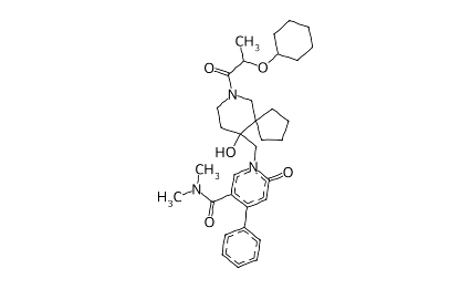 CC(OC1CCCCC1)C(=O)N1CCC(O)(Cn2cc(C(=O)N(C)C)c(-c3ccccc3)cc2=O)C2(CCCC2)C1